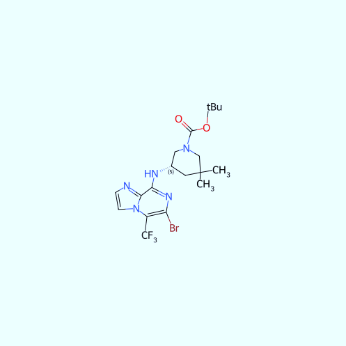 CC1(C)C[C@H](Nc2nc(Br)c(C(F)(F)F)n3ccnc23)CN(C(=O)OC(C)(C)C)C1